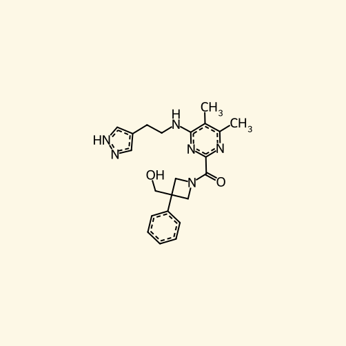 Cc1nc(C(=O)N2CC(CO)(c3ccccc3)C2)nc(NCCc2cn[nH]c2)c1C